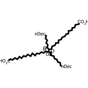 CCCCCCCCCCCCCCCCCC(=O)C(O)(C(=O)CCCCCCCCCCCCCCCCC(=O)O)C(CCCCCCCCCCCCCCCCCC(=O)O)C(=O)CCCCCCCCCCCCCCC